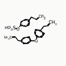 C=CCc1ccc(OS(=O)(=O)O)cc1.C=CCc1ccc(Oc2ccc(CC=C)cc2)cc1